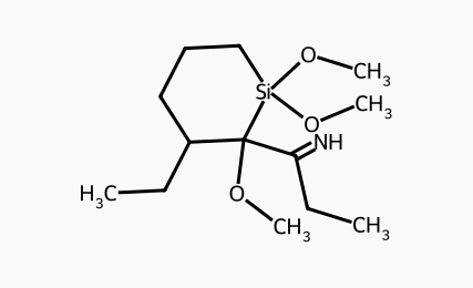 CCC(=N)C1(OC)C(CC)CCC[Si]1(OC)OC